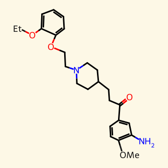 CCOc1ccccc1OCCN1CCC(CCC(=O)c2ccc(OC)c(N)c2)CC1